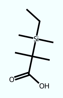 CC[Si](C)(C)C(C)(C)C(=O)O